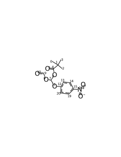 CC(C)(C)C(=O)OC(OC=O)Oc1ccc([N+](=O)[O-])cc1